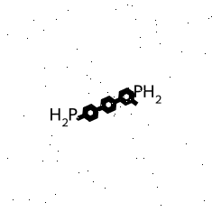 Cc1cc(-c2ccc(-c3ccc(CP)cc3)cc2)ccc1P